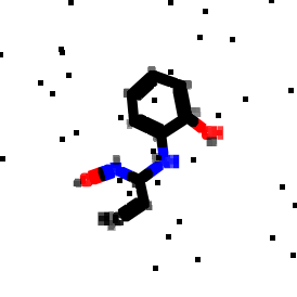 C=CC(N=O)Nc1ccccc1O